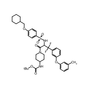 Cc1cccc(Oc2cccc(C(F)(F)C(NS(=O)(=O)c3ccc(OCC4CCCCC4)cc3)C(=O)N3CCC(NC(=O)OC(C)(C)C)CC3)c2)c1